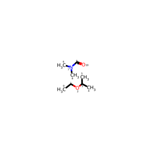 CCOC(C)C.CN(C)C=O